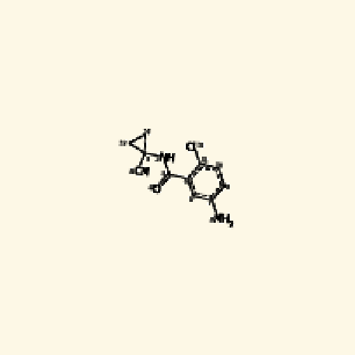 N#CC1(NC(=O)c2cc(N)ccc2Cl)CC1